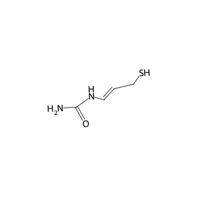 NC(=O)NC=CCS